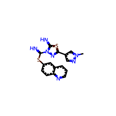 Cn1cc(-c2nn(C(=N)Sc3ccc4ncccc4c3)c(=N)s2)cn1